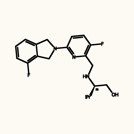 CC(C)[C@H](CO)NCc1nc(N2Cc3cccc(F)c3C2)ccc1F